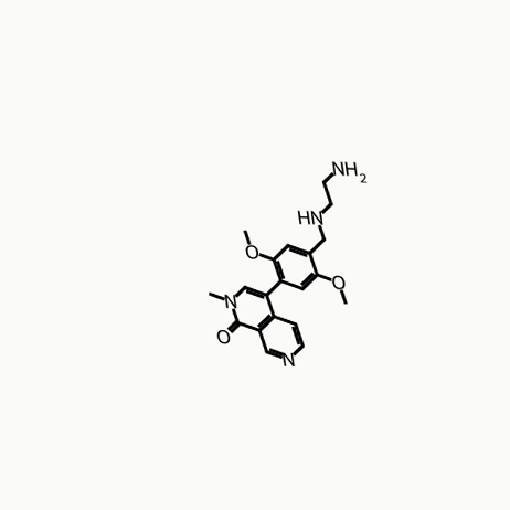 COc1cc(-c2cn(C)c(=O)c3cnccc23)c(OC)cc1CNCCN